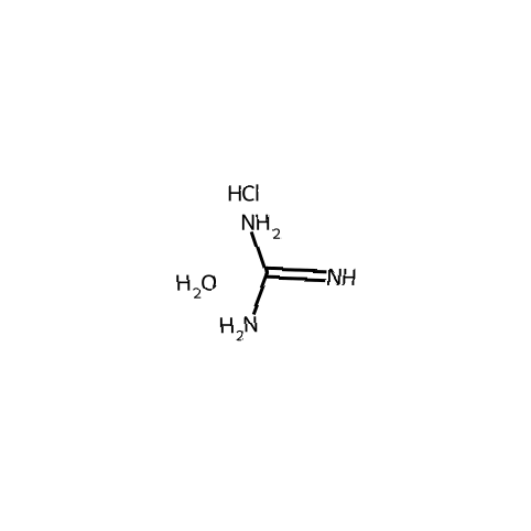 Cl.N=C(N)N.O